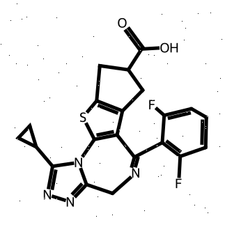 O=C(O)C1Cc2sc3c(c2C1)C(c1c(F)cccc1F)=NCc1nnc(C2CC2)n1-3